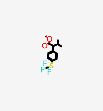 COC(=O)C(c1ccc(SC(F)(F)F)cc1)C(C)C